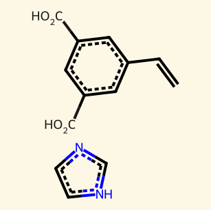 C=Cc1cc(C(=O)O)cc(C(=O)O)c1.c1c[nH]cn1